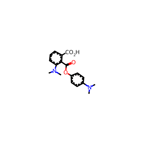 CN(C)c1ccc(OC(=O)c2c(C(=O)O)cccc2N(C)C)cc1